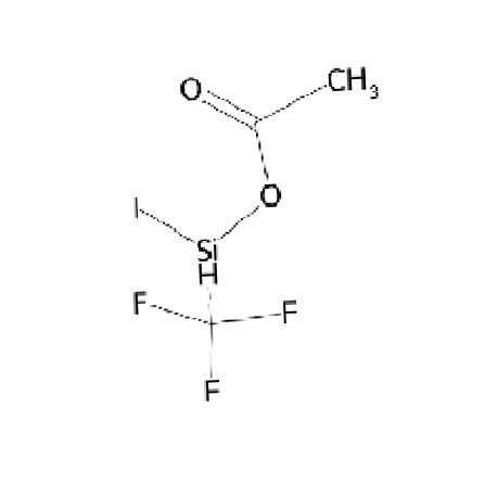 CC(=O)O[SiH](I)C(F)(F)F